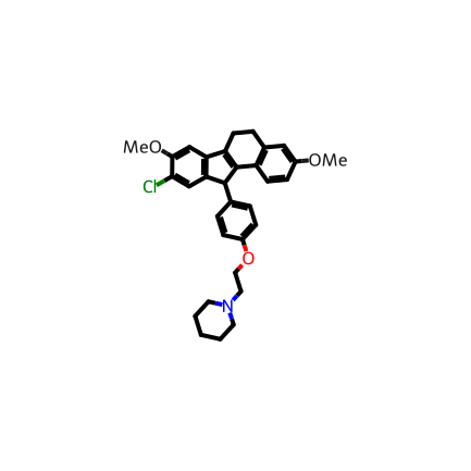 COc1ccc2c(c1)CCC1=C2C(c2ccc(OCCN3CCCCC3)cc2)c2cc(Cl)c(OC)cc21